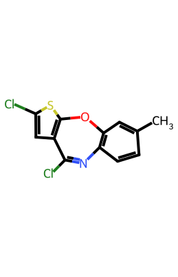 Cc1ccc2c(c1)Oc1sc(Cl)cc1C(Cl)=N2